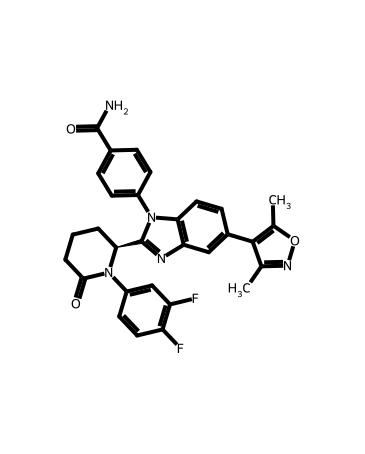 Cc1noc(C)c1-c1ccc2c(c1)nc([C@@H]1CCCC(=O)N1c1ccc(F)c(F)c1)n2-c1ccc(C(N)=O)cc1